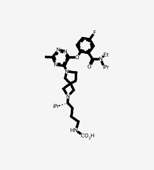 CCN(C(=O)c1cc(F)ccc1Oc1nnc(C)nc1N1CCC2(C1)CN([C@H](CCCNC(=O)O)C(C)C)C2)C(C)C